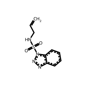 C=CCNS(=O)(=O)n1nnc2ccccc21